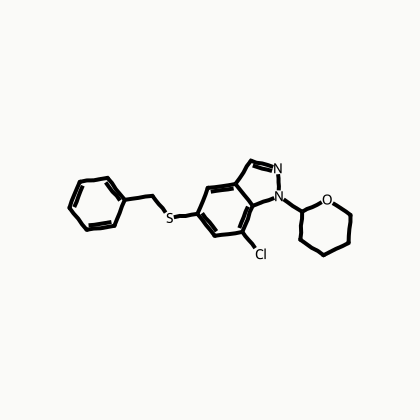 Clc1cc(SCc2ccccc2)cc2cnn(C3CCCCO3)c12